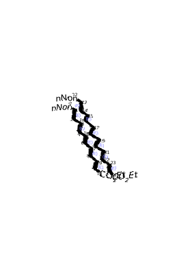 CCCCCCCCC/C=C/C=C/C=C/C=C/C=C/C(=O)OCC.CCCCCCCCC/C=C/C=C/C=C/C=C/C=C/C=C/C(=O)OCC